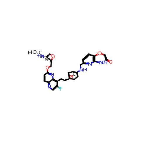 O=C(O)N[C@@H]1COC1COc1ccc2ncc(F)c(CCC34CCC(NCc5ccc6c(n5)NC(=O)CO6)(CC3)CO4)c2n1